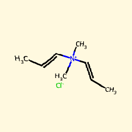 CC=C[N+](C)(C)C=CC.[Cl-]